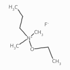 CCC[N+](C)(C)OCC.[F-]